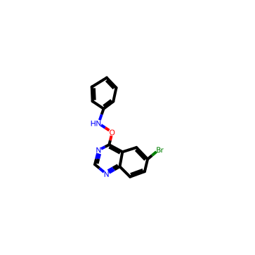 Brc1ccc2ncnc(ONc3ccccc3)c2c1